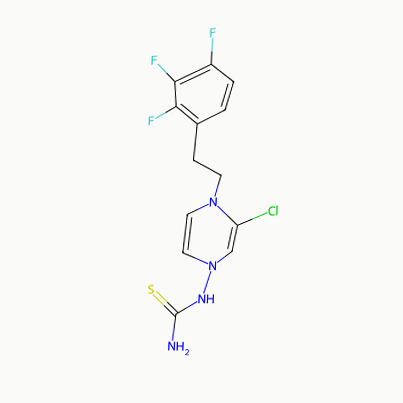 NC(=S)NN1C=CN(CCc2ccc(F)c(F)c2F)C(Cl)=C1